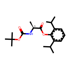 CC(C)c1cccc(C(C)C)c1OC(=O)[C@H](C)NC(=O)OC(C)(C)C